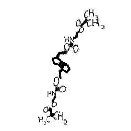 C=C(C)C(=O)OCCNC(=O)OCCC1CCC2C1C1CCC2(CCOC(=O)NCCOC(=O)C(=C)C)C1